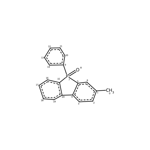 Cc1ccc2c(c1)P(=O)(c1ccccc1)c1ccccc1-2